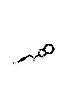 CC#CCNc1nc2ccccc2o1